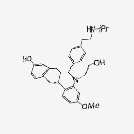 COc1ccc(C2CCc3cc(O)ccc3C2)c(N(CCO)Cc2ccc(CCNC(C)C)cc2)c1